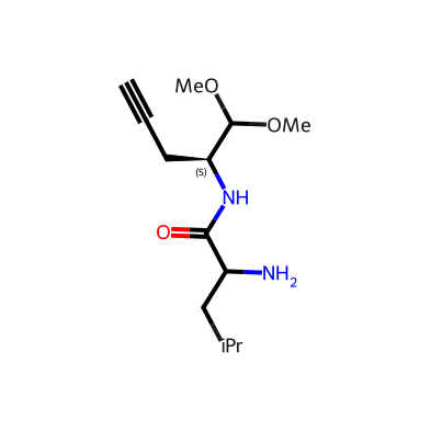 C#CC[C@H](NC(=O)C(N)CC(C)C)C(OC)OC